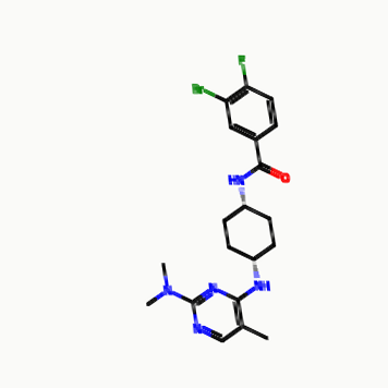 Cc1cnc(N(C)C)nc1N[C@H]1CC[C@@H](NC(=O)c2ccc(F)c(Br)c2)CC1